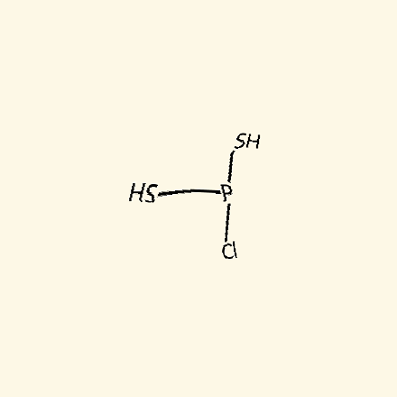 SP(S)Cl